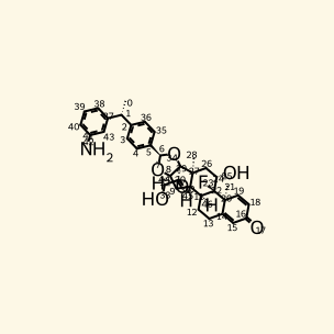 C[C@H](c1ccc([C@@H]2O[C@@H]3C[C@H]4[C@@H]5CCC6=CC(=O)C=C[C@]6(C)[C@@]5(F)[C@@H](O)C[C@]4(C)[C@]3(C(=O)CO)O2)cc1)c1cccc(N)c1